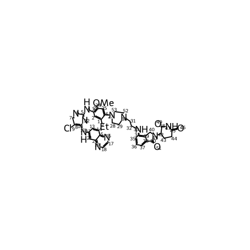 CCc1cc(Nc2ncc(Cl)c(Nc3ccc4nccnc4c3)n2)c(OC)cc1N1CCN(CCNc2cccc3c2CN(C2CCC(=O)NC2=O)C3=O)CC1